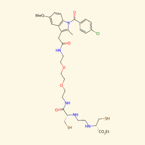 CCOC(=O)[C@@H](CS)NCCN[C@H](CS)C(=O)NCCOCCOCCNC(=O)Cc1c(C)n(C(=O)c2ccc(Cl)cc2)c2ccc(OC)cc12